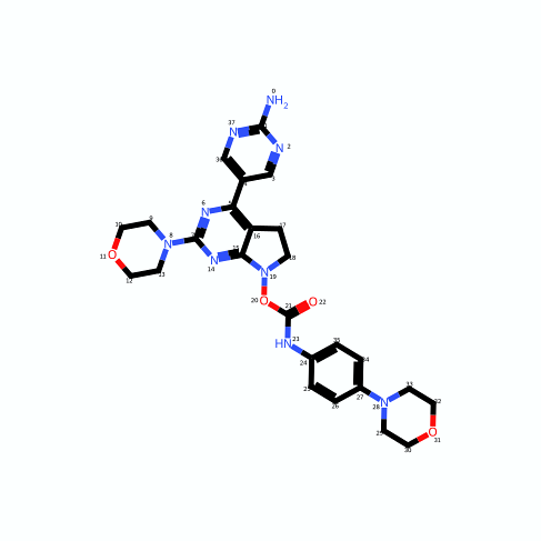 Nc1ncc(-c2nc(N3CCOCC3)nc3c2CCN3OC(=O)Nc2ccc(N3CCOCC3)cc2)cn1